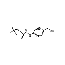 CC(C)(C)OC(=O)NNc1ccc(CO)cn1